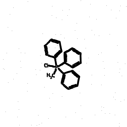 CP(Cl)(c1ccccc1)(c1ccccc1)c1ccccc1